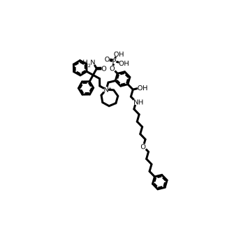 NC(=O)C(CC[N+]1(Cc2cc(C(O)CNCCCCCCOCCCCc3ccccc3)ccc2OP(=O)(O)O)CCCCCC1)(c1ccccc1)c1ccccc1